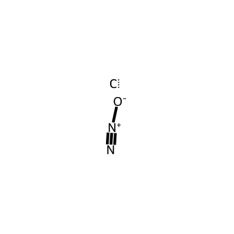 N#[N+][O-].[C]